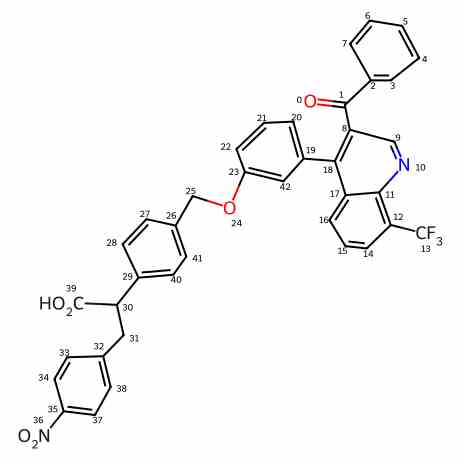 O=C(c1ccccc1)c1cnc2c(C(F)(F)F)cccc2c1-c1cccc(OCc2ccc(C(Cc3ccc([N+](=O)[O-])cc3)C(=O)O)cc2)c1